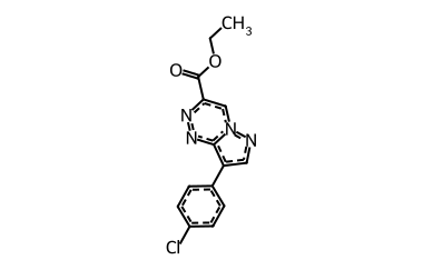 CCOC(=O)c1cn2ncc(-c3ccc(Cl)cc3)c2nn1